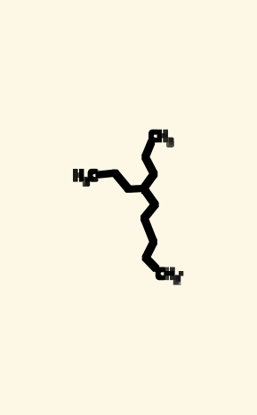 [CH2]CCCC[C](CCC)CCC